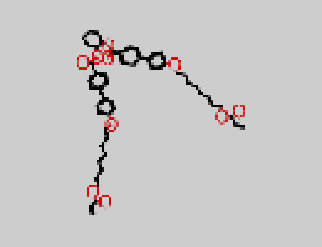 C=CC(=O)OCCCCCCCCOc1ccc(-c2ccc(C(=O)O[C@@H]3CCCC[C@H]3OC(=O)c3ccc(-c4ccc(OCCCCCCCCOC(=O)C=C)cc4)cc3)cc2)cc1